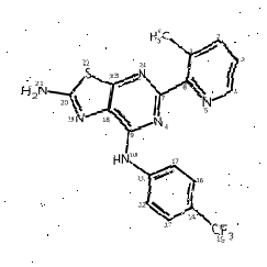 Cc1cccnc1-c1nc(Nc2ccc(C(F)(F)F)cc2)c2nc(N)sc2n1